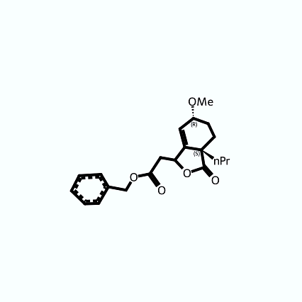 CCC[C@]12CC[C@@H](OC)C=C1C(CC(=O)OCc1ccccc1)OC2=O